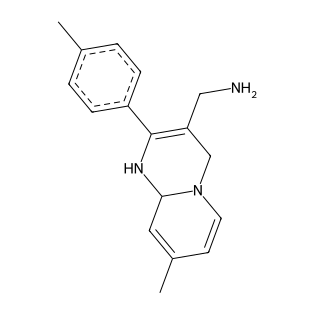 CC1=CC2NC(c3ccc(C)cc3)=C(CN)CN2C=C1